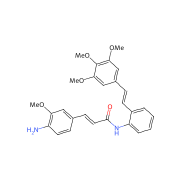 COc1cc(/C=C/C(=O)Nc2ccccc2/C=C/c2cc(OC)c(OC)c(OC)c2)ccc1N